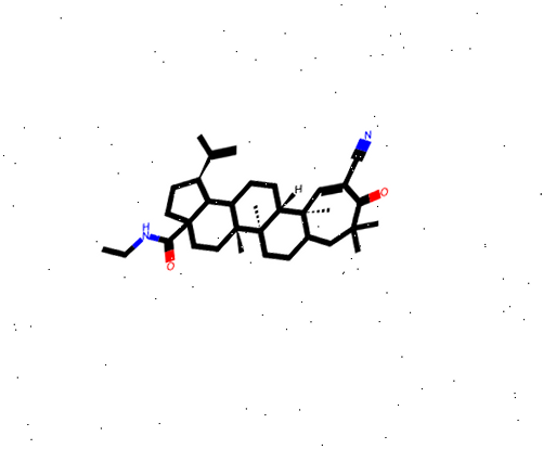 C=C(C)[C@@H]1CCC2(C(=O)NCC)CC[C@]3(C)C(CC[C@@H]4[C@@]5(C)C=C(C#N)C(=O)C(C)(C)CC5CC[C@]43C)C12